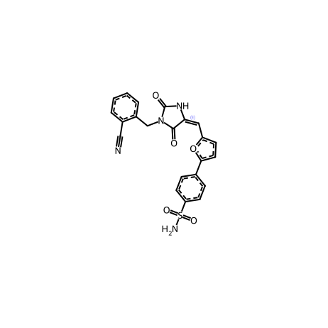 N#Cc1ccccc1CN1C(=O)N/C(=C/c2ccc(-c3ccc(S(N)(=O)=O)cc3)o2)C1=O